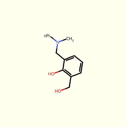 CCCN(C)Cc1cccc(CO)c1O